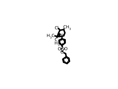 CC1CCC2C(C)(C)C2(Oc2ccc(S(=O)(=O)OCc3ccccc3)cc2)C1Cl